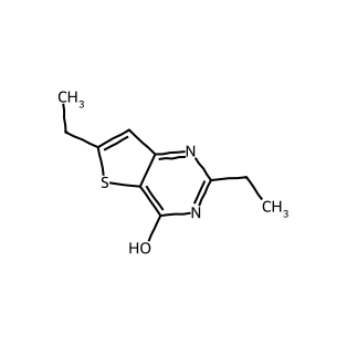 CCc1nc(O)c2sc(CC)cc2n1